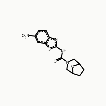 O=C(Nc1nc2ccc([N+](=O)[O-])cc2s1)N1CC2CCC(C1)O2